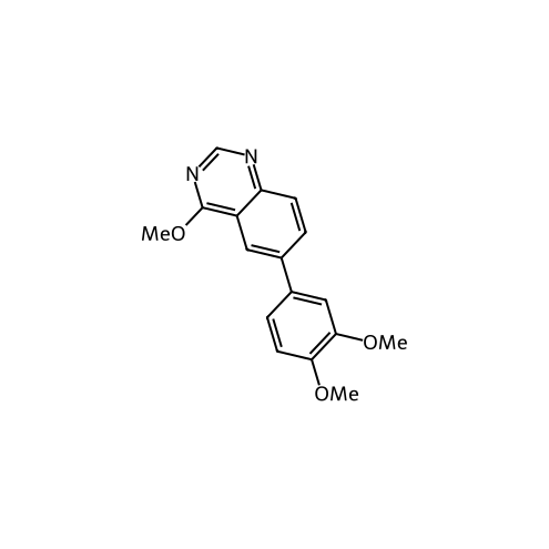 COc1ccc(-c2ccc3ncnc(OC)c3c2)cc1OC